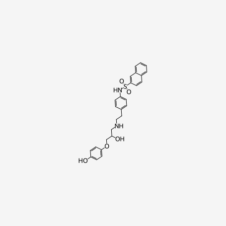 O=S(=O)(Nc1ccc(CCNCC(O)COc2ccc(O)cc2)cc1)c1ccc2ccccc2c1